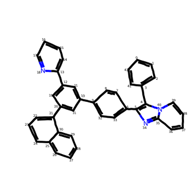 c1ccc(-c2c(-c3ccc(-c4cc(-c5ccccn5)cc(-c5cccc6ccccc56)c4)cc3)nc3ccccn23)cc1